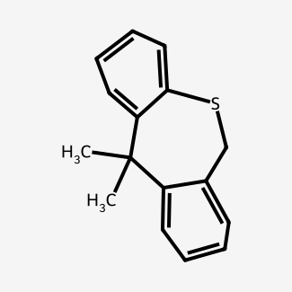 CC1(C)c2ccccc2CSc2ccccc21